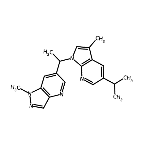 Cc1cn(C(C)c2cnc3cnn(C)c3c2)c2ncc(C(C)C)cc12